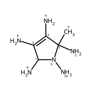 CC1(N)C(N)=C(N)C(N)N1N